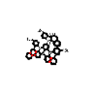 CC(C)(C)c1ccc(N2c3cc(-c4ccccc4)ccc3B3c4ccc(C(C)(C)C)cc4N(c4ccc(C(C)(C)C)cc4-c4ccccc4)c4cc(N5c6ccc(C(C)(C)C)cc6C6(C)CCc7ccccc7C56C)cc2c43)c(-c2ccccc2)c1